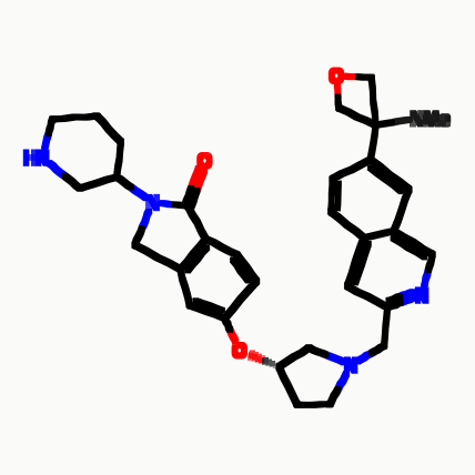 CNC1(c2ccc3cc(CN4CC[C@H](Oc5ccc6c(c5)CN(C5CCCNC5)C6=O)C4)ncc3c2)COC1